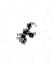 [2H]C([2H])([2H])NC(=O)[C@H]1O[C@@H](n2cnc3c(NCc4nnn(C)n4)nc(-c4cncc(Cl)c4)nc32)[C@H](O)[C@@H]1O